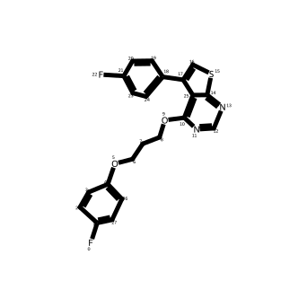 Fc1ccc(OCCCOc2ncnc3scc(-c4ccc(F)cc4)c23)cc1